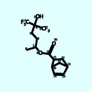 CC(CCC(O)(C(F)(F)F)C(F)(F)F)OC(=O)C1CC2C=CC1C2